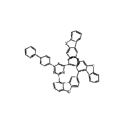 c1ccc(-c2ccc(-c3nc(-c4ccccc4)nc(-c4cccc5oc6ccc(-c7cc(-c8ccc9sc%10ccccc%10c9c8)cc8oc9ccccc9c78)cc6c45)n3)cc2)cc1